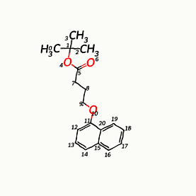 CC(C)(C)OC(=O)CC[CH]Oc1cccc2ccccc12